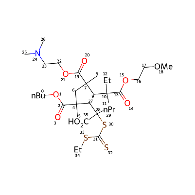 CCCCOC(=O)C(C)(CC(C)(CC(C)(CC)C(=O)OCCOC)C(=O)OCCN(C)C)CC(CCC)(SC(=S)SCC)C(=O)O